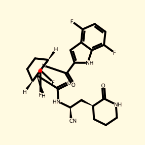 N#C[C@H](C[C@@H]1CCCNC1=O)NC(=O)[C@@H]1[C@@H]2CC[C@@H](CC2(F)F)N1C(=O)c1cc2c(F)ccc(F)c2[nH]1